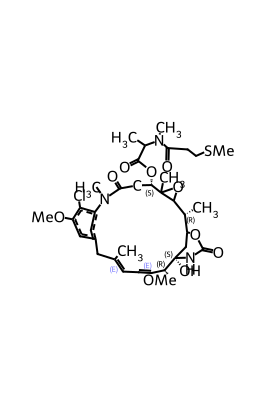 COc1cc2cc(c1Cl)N(C)C(=O)C[C@H](OC(=O)C(C)N(C)C(=O)CCSC)C1(C)OC1[C@H](C)C1C[C@@](O)(NC(=O)O1)[C@H](OC)/C=C/C=C(\C)C2